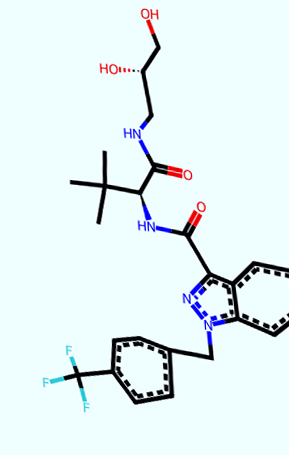 CC(C)(C)[C@H](NC(=O)c1nn(Cc2ccc(C(F)(F)F)cc2)c2ccccc12)C(=O)NC[C@H](O)CO